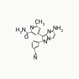 Cc1cc(-c2c(-c3cccc(C#N)c3)nn3ccc(N)nc23)cc(C(N)=O)n1